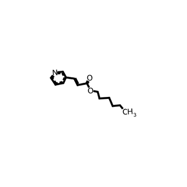 CCCCCCOC(=O)C=Cc1cccnc1